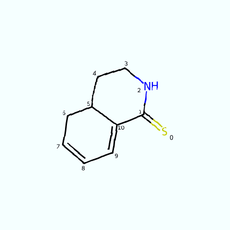 S=C1NCCC2CC=CC=C12